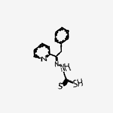 S=C(S)N/N=C(\Cc1ccccc1)c1ccccn1